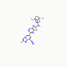 CC[C@]12CC[C@](CC)(CC(N(C)c3nc4cnc(-c5cc(C#N)c6nc(C)cn6c5)nc4s3)C1)N2